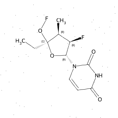 CC[C@@]1(OF)O[C@@H](n2ccc(=O)[nH]c2=O)[C@H](F)[C@@H]1C